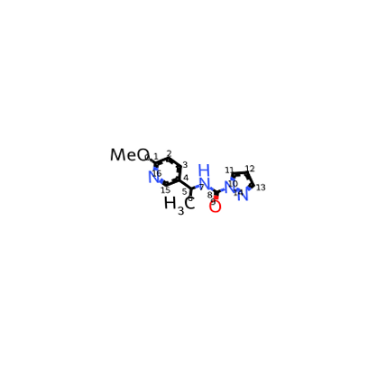 COc1ccc(C(C)NC(=O)n2cccn2)cn1